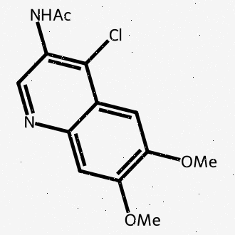 COc1cc2ncc(NC(C)=O)c(Cl)c2cc1OC